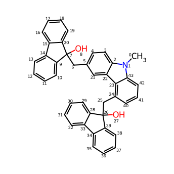 Cn1c2ccc(CC3(O)c4ccccc4-c4ccccc43)cc2c2c(CC3(O)c4ccccc4-c4ccccc43)cccc21